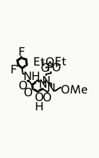 CCOP(=O)(CCN1CN(CCOC)C(=O)c2c(O)c(=O)c(C(=O)NCc3ccc(F)cc3F)cn21)OCC